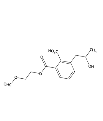 CC(O)Cc1cccc(C(=O)OCCOC=O)c1C(=O)O